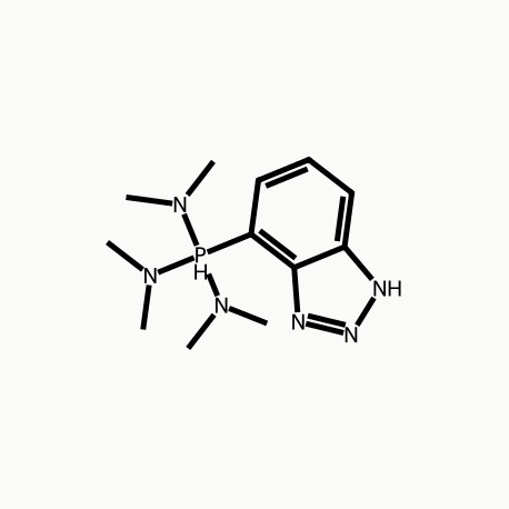 CN(C)[PH](c1cccc2[nH]nnc12)(N(C)C)N(C)C